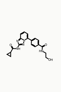 O=C(NCCO)c1ccc(-c2cccc3nc(NC(=O)C4CC4)nn23)cc1